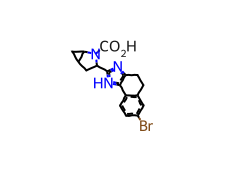 O=C(O)N1C(c2nc3c([nH]2)-c2ccc(Br)cc2CC3)CC2CC21